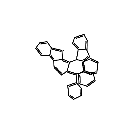 [C]1=c2ccccc2=c2ccc(=C(c3ccccc3)c3ccccc3)c(C3C(c4ccccc4)=Cc4ccccc43)c21